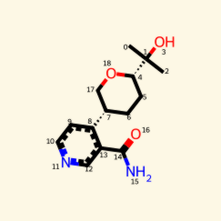 CC(C)(O)[C@@H]1CC[C@H](c2ccncc2C(N)=O)CO1